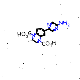 C[C@H]1CN(C(=O)O)c2cc(-c3cnc(N)cn3)ccc2N1C(=O)O